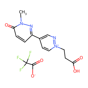 Cn1nc(-c2cc[n+](CCC(=O)O)nc2)ccc1=O.O=C([O-])C(F)(F)F